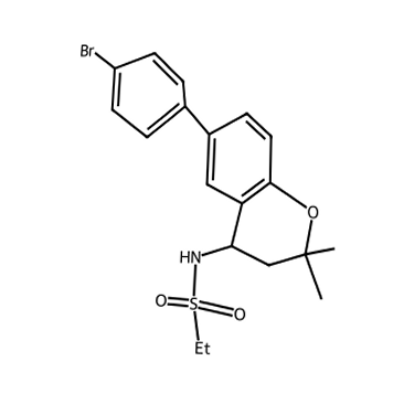 CCS(=O)(=O)NC1CC(C)(C)Oc2ccc(-c3ccc(Br)cc3)cc21